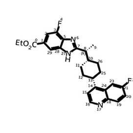 CCOC(=O)c1cc(F)c2nc([C@H](C)[C@H]3CC[C@@H](c4ccnc5ccc(F)cc54)CC3)[nH]c2c1